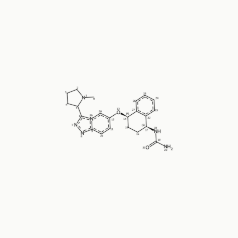 CN1CCCC1c1nnc2ccc(O[C@@H]3CC[C@H](NC(N)=O)c4ccccc43)cn12